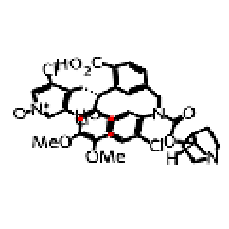 COc1ccc([C@H](Cc2c(Cl)c[n+]([O-])cc2Cl)c2cc(CN(C(=O)O[C@H]3CN4CCC3CC4)c3cc(O)ccc3Cl)ccc2C(=O)O)cc1OC